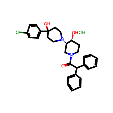 Cl.O=C(C(c1ccccc1)c1ccccc1)N1CC[C@H](O)[C@@H](N2CCC(O)(c3ccc(Cl)cc3)CC2)C1